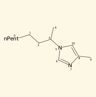 CCCCCCCC(C)n1cnc(C)c1